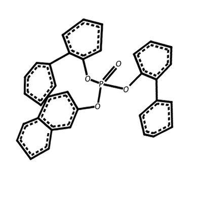 O=P(Oc1ccc2ccccc2c1)(Oc1ccccc1-c1ccccc1)Oc1ccccc1-c1ccccc1